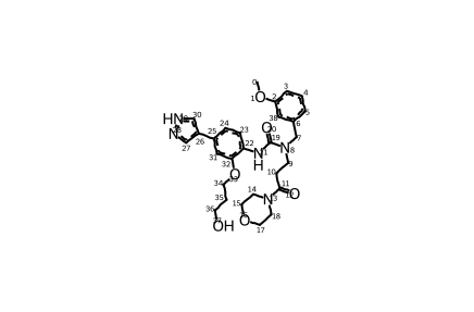 COc1cccc(CN(CCC(=O)N2CCOCC2)C(=O)Nc2ccc(-c3cn[nH]c3)cc2OCCCO)c1